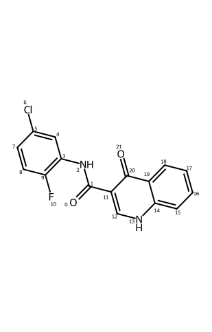 O=C(Nc1cc(Cl)ccc1F)c1c[nH]c2ccccc2c1=O